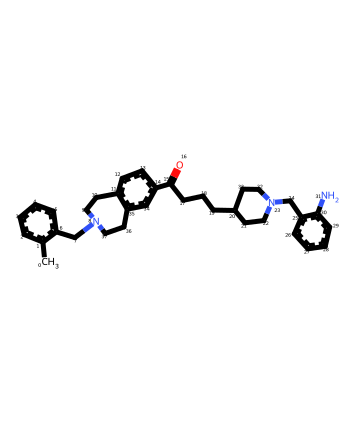 Cc1ccccc1CN1CCc2ccc(C(=O)CCCC3CCN(Cc4ccccc4N)CC3)cc2CC1